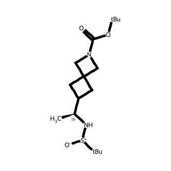 C[C@H](N[S+]([O-])C(C)(C)C)C1CC2(C1)CN(C(=O)OC(C)(C)C)C2